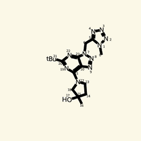 Cn1nnnc1Cn1nnc2c(N3CCC(C)(O)C3)nc(C(C)(C)C)nc21